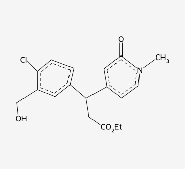 CCOC(=O)CC(c1ccc(Cl)c(CO)c1)c1ccn(C)c(=O)c1